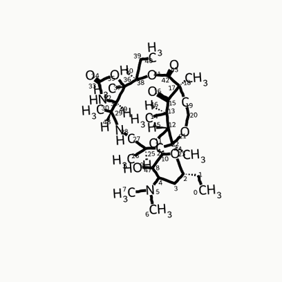 CC[C@@H]1CC(N(C)C)C(O)[C@H](O[C@@H]2[C@@H](C)C(=O)[C@]3(C)CCO[C@@]2(C)C[C@@H](C)CN[C@H](C)[C@H]2NC(=O)O[C@]2(C)[C@@H](CC)OC3=O)O1